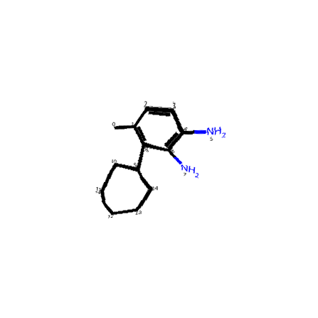 Cc1ccc(N)c(N)c1C1CCCCC1